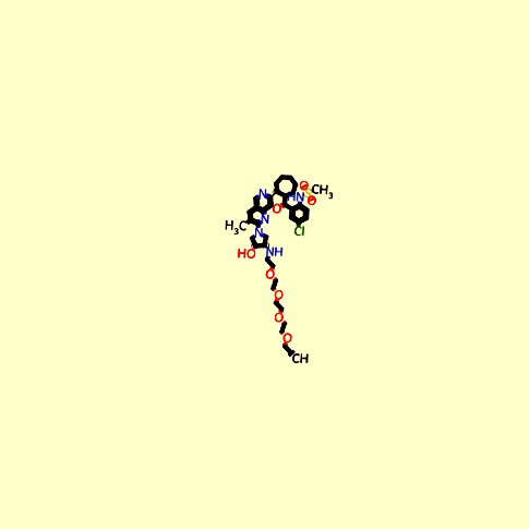 C#CCOCCOCCOCCOCCN[C@@H]1CN(c2nc3cc([C@@H]4CCCCCC4C(=O)c4cc(Cl)ccc4NS(C)(=O)=O)ncc3cc2C)C[C@@H]1O